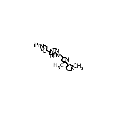 CC1=CC(c2ncc(CNc3nccn4c(C5CCN(C(C)C)CC5)cnc34)cc2C)=CCC=N1